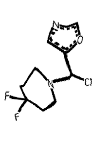 N#CC(c1cnco1)N1CCC(F)(F)CC1